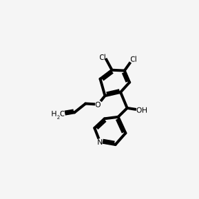 C=CCOc1cc(Cl)c(Cl)cc1C(O)c1ccncc1